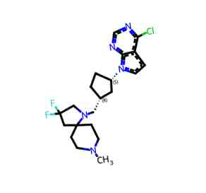 CN1CCC2(CC1)CC(F)(F)CN2C[C@@H]1CC[C@H](n2ccc3c(Cl)ncnc32)C1